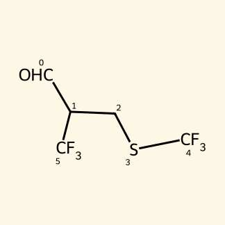 O=CC(CSC(F)(F)F)C(F)(F)F